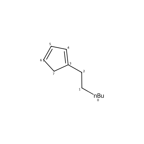 CCCCCCC1=CC=[C]C1